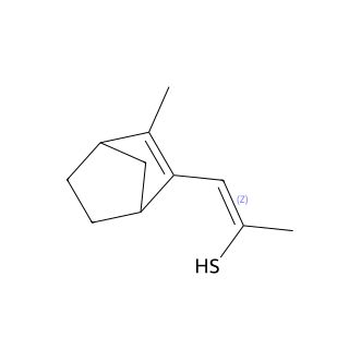 CC1=C(/C=C(/C)S)C2CCC1C2